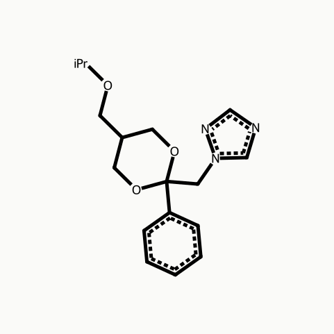 CC(C)OCC1COC(Cn2cncn2)(c2ccccc2)OC1